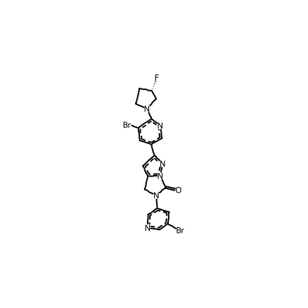 O=C1N(c2cncc(Br)c2)Cc2cc(-c3cnc(N4CC[C@H](F)C4)c(Br)c3)nn21